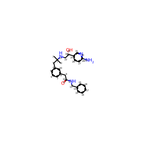 CC(C)(Cc1cccc(CC(=O)NCc2ccccc2)c1)NC[C@H](O)c1ccc(N)nc1